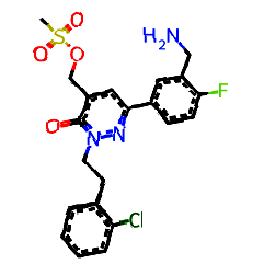 CS(=O)(=O)OCc1cc(-c2ccc(F)c(CN)c2)nn(CCc2ccccc2Cl)c1=O